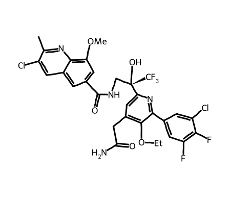 CCOc1c(CC(N)=O)cc([C@@](O)(CNC(=O)c2cc(OC)c3nc(C)c(Cl)cc3c2)C(F)(F)F)nc1-c1cc(F)c(F)c(Cl)c1